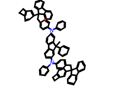 CC1(c2ccccc2)c2cc(N(c3ccccc3)c3ccc(CC4(c5ccc6c(c5)CC6)c5ccccc5-c5ccccc54)cc3)ccc2-c2ccc(N(c3ccccc3)c3ccc(CC4(c5ccc6c(c5)CC6)c5ccccc5-c5ccccc54)cc3)cc21